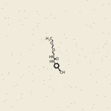 C#Cc1ccc(NC(=O)NCCOCCOCC)cc1